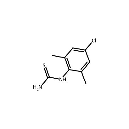 Cc1cc(Cl)cc(C)c1NC(N)=S